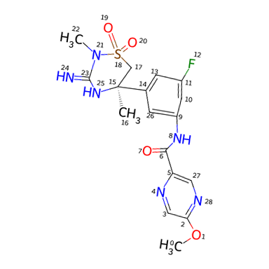 COc1cnc(C(=O)Nc2cc(F)cc([C@]3(C)CS(=O)(=O)N(C)C(=N)N3)c2)cn1